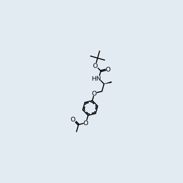 CC(=O)Oc1ccc(OC[C@H](C)NC(=O)OC(C)(C)C)cc1